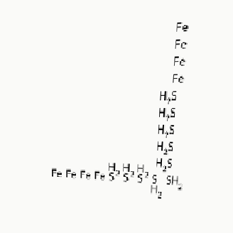 S.S.S.S.S.S.S.S.S.S.[Fe].[Fe].[Fe].[Fe].[Fe].[Fe].[Fe].[Fe]